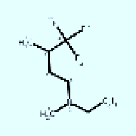 CCN(C)CCC(C)C(F)(F)F